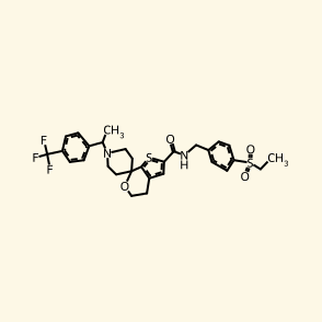 CCS(=O)(=O)c1ccc(CNC(=O)c2cc3c(s2)C2(CCN(C(C)c4ccc(C(F)(F)F)cc4)CC2)OCC3)cc1